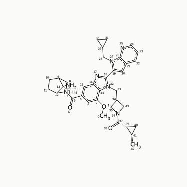 COc1cc(C(=O)N2CC3CCC2[C@@H]3N)cc2nc(-c3cc4cccnc4n3CC3CC3)n(CC3CN(C(=O)[C@@H]4C[C@H]4C)C3)c12